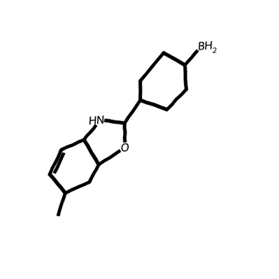 BC1CCC(C2NC3C=CC(C)CC3O2)CC1